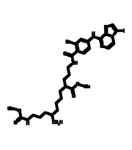 CCc1cc(Nc2nccn3c(I)cnc23)ccc1C(=O)NCCCN(CCCCN(CCCNC(=O)OC(C)(C)C)C(=O)O)C(=O)OC(C)(C)C